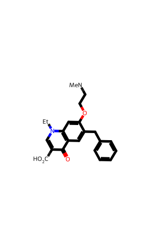 CCn1cc(C(=O)O)c(=O)c2cc(Cc3ccccc3)c(OCCNC)cc21